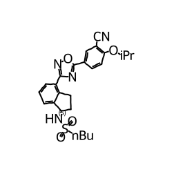 CCCCS(=O)(=O)N[C@H]1CCc2c(-c3noc(-c4ccc(OC(C)C)c(C#N)c4)n3)cccc21